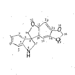 c1ccc2c(c1)NCC21COc2cc3c(cc21)OCO3